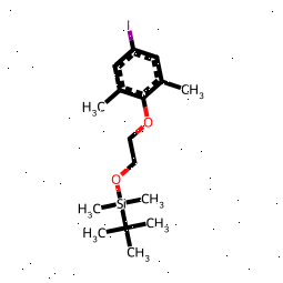 Cc1cc(I)cc(C)c1OCCO[Si](C)(C)C(C)(C)C